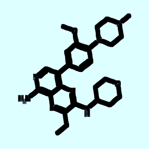 CCc1nc2c(N)ncc(-c3ccc(N4CCN(C)CC4)c(OC)c3)c2nc1NC1CCOCC1